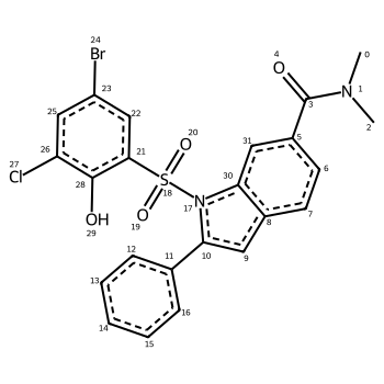 CN(C)C(=O)c1ccc2cc(-c3ccccc3)n(S(=O)(=O)c3cc(Br)cc(Cl)c3O)c2c1